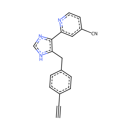 C#Cc1ccc(Cc2[nH]cnc2-c2cc(C#N)ccn2)cc1